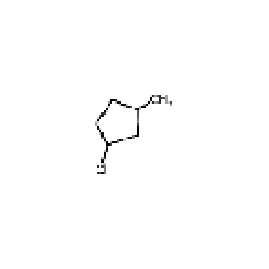 CC1CCC(Cl)C1